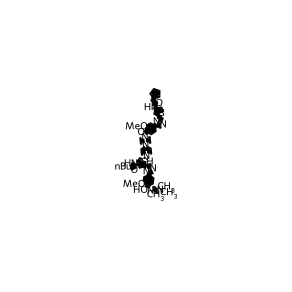 CCCCC(=O)NC1=C[SH](CN2CCC(N3CCN(C(=O)c4ccc(-c5cncc(-c6cc(NC(=O)CC7CCCC7)cs6)n5)cc4OC)CC3)CC2)C(c2cncc(-c3ccc(C(O)N(C)CCN(C)C)c(OC)c3)n2)=C1